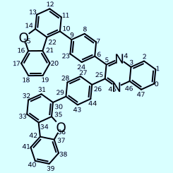 c1ccc2nc(-c3ccc(-c4cccc5oc6ccccc6c45)cc3)c(-c3ccc(-c4cccc5c4oc4ccccc45)cc3)nc2c1